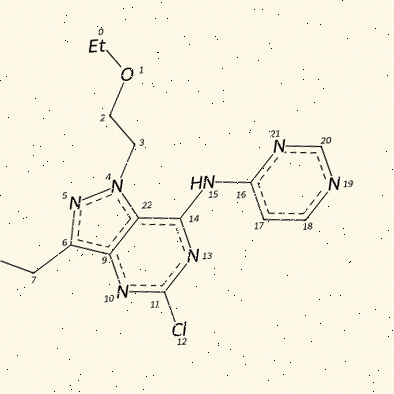 CCOCCn1nc(CBr)c2nc(Cl)nc(Nc3ccncn3)c21